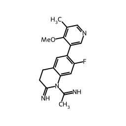 COc1c(C)cncc1-c1cc2c(cc1F)N(C(C)=N)C(=N)CC2